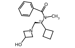 CN(C(=O)c1ccccc1)[C@H](CN1CC(O)C1)C1CCC1